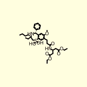 CCCC[C@]1(CC)CS(O)(O)c2cc(CCC(=O)NC(CC(=O)OCC)CC(=O)OCC)c(OC)cc2[C@@H](c2ccccc2)N1